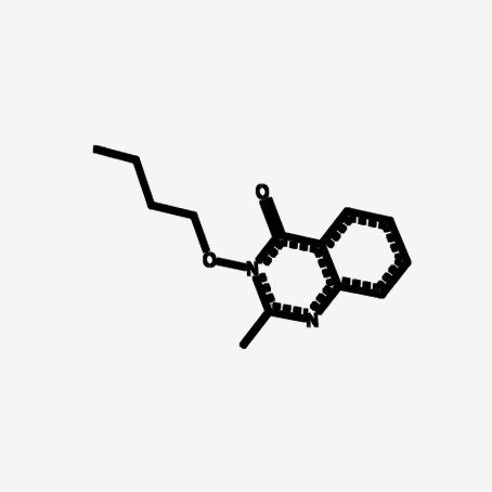 CCCCOn1c(C)nc2ccccc2c1=O